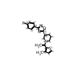 C=C(c1sccc1C)N1CCC[C@H](c2nc(-c3ccc(F)cc3)no2)C1